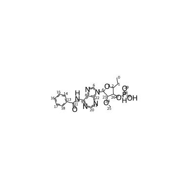 CCC1OC(n2cnc3c(NC(=O)c4ccccc4)ncnc32)C(OC)C1O[PH](=O)O